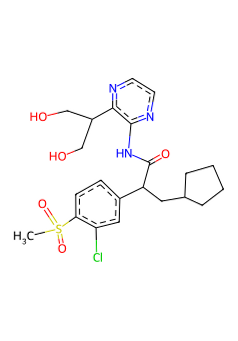 CS(=O)(=O)c1ccc(C(CC2CCCC2)C(=O)Nc2nccnc2C(CO)CO)cc1Cl